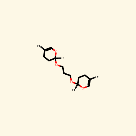 CCC1=COC(CC)(OCCCOC2(CC)CCC(CC)=CO2)CC1